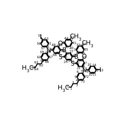 CCCCc1ccc(N(c2ccc(I)cc2)c2cc3c4c(c2)Sc2cc5c(cc2B4c2ccc(C)cc2O3)B2c3ccc(C)cc3Oc3cc(N(c4ccc(I)cc4)c4ccc(CCCC)cc4)cc(c32)S5)cc1